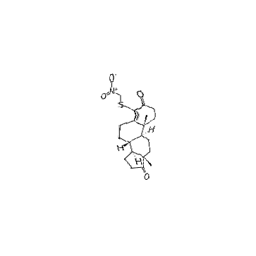 C[C@]12CCC(=O)C(SC[N+](=O)[O-])=C1CC[C@@H]1[C@@H]2CC[C@]2(C)C(=O)CC[C@@H]12